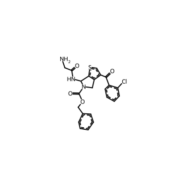 NCC(=O)NC1c2scc(C(=O)c3ccccc3Cl)c2CN1C(=O)OCc1ccccc1